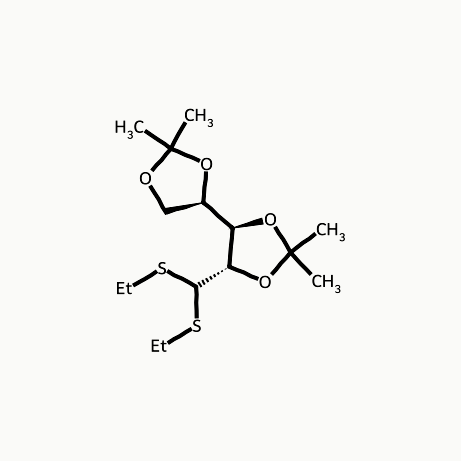 CCSC(SCC)[C@H]1OC(C)(C)O[C@@H]1[C@H]1COC(C)(C)O1